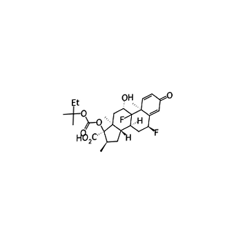 CCC(C)(C)OC(=O)O[C@]1(C(=O)O)[C@H](C)C[C@H]2[C@@H]3C[C@H](F)C4=CC(=O)C=C[C@]4(C)C3(F)[C@@H](O)C[C@@]21C